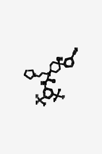 N#Cc1cccc([C@]2(O)CC[C@@H](N(CCN3CCCC3)C(=O)Nc3cc(C(F)(F)F)cc(C(F)(F)F)c3)CC2)c1